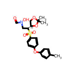 Cc1ccc(Oc2ccc(S(=O)(=O)C(CN(O)C=O)[C@@H]3COC(C)(C)O3)cc2)cc1